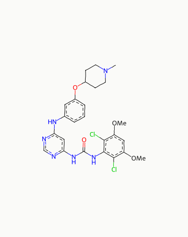 COc1cc(OC)c(Cl)c(NC(=O)Nc2cc(Nc3cccc(OC4CCN(C)CC4)c3)ncn2)c1Cl